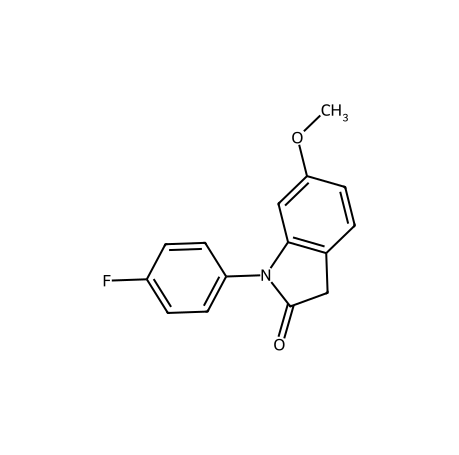 COc1ccc2c(c1)N(c1ccc(F)cc1)C(=O)C2